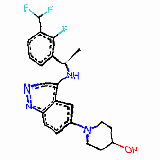 C[C@@H](Nc1cnnc2ccc(N3CCC(O)CC3)cc12)c1cccc(C(F)F)c1F